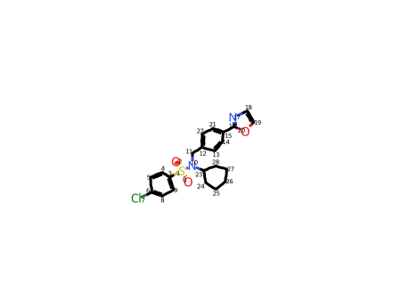 O=S(=O)(c1ccc(Cl)cc1)N(Cc1ccc(-c2ncco2)cc1)C1CCCCC1